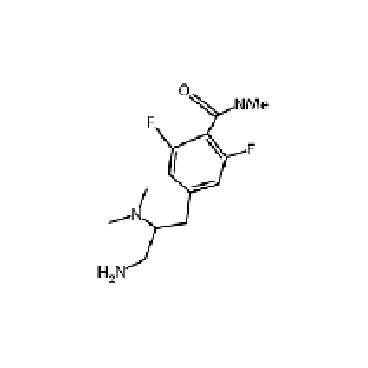 CNC(=O)c1c(F)cc(CC(CN)N(C)C)cc1F